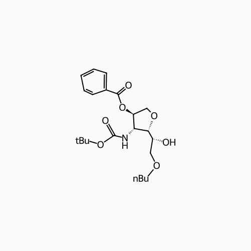 CCCCOC[C@@H](O)[C@H]1OC[C@H](OC(=O)c2ccccc2)[C@H]1NC(=O)OC(C)(C)C